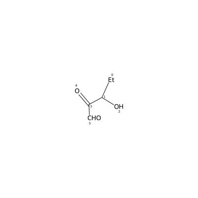 CCC(O)C(=O)C=O